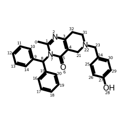 Cc1nc2c(c(=O)n1C(c1ccccc1)c1ccccc1)CN(Cc1ccc(O)cc1)CC2